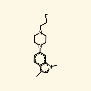 Cc1cn(C)c2cc(N3CCN(CCF)CC3)ccc12